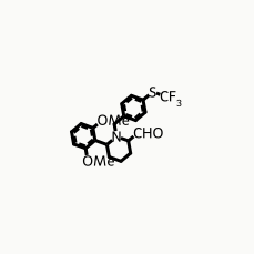 COc1cccc(OC)c1C1CCCC(C=O)N1Cc1ccc(SC(F)(F)F)cc1